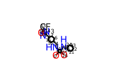 O=c1c(NCc2ccc(-c3noc(C(F)(F)F)n3)cc2)c(Nc2ccccc2)c1=O